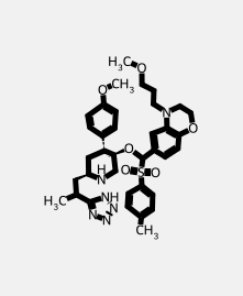 COCCCN1CCOc2ccc(C(O[C@H]3CN[C@@H](CC(C)c4nnn[nH]4)C[C@@H]3c3ccc(OC)cc3)S(=O)(=O)c3ccc(C)cc3)cc21